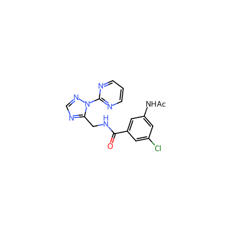 CC(=O)Nc1cc(Cl)cc(C(=O)NCc2ncnn2-c2ncccn2)c1